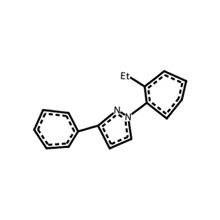 CCc1ccccc1-n1ccc(-c2ccccc2)n1